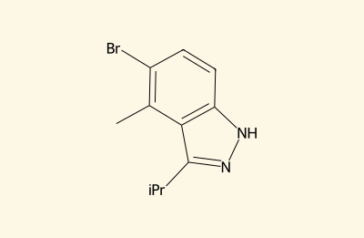 Cc1c(Br)ccc2[nH]nc(C(C)C)c12